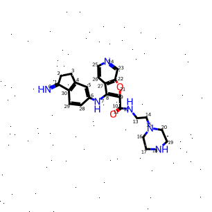 N=C1CCc2cc(Nc3c(C(=O)NCCN4CCNCC4)oc4cnccc34)ccc21